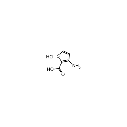 Cl.Nc1ccsc1C(=O)O